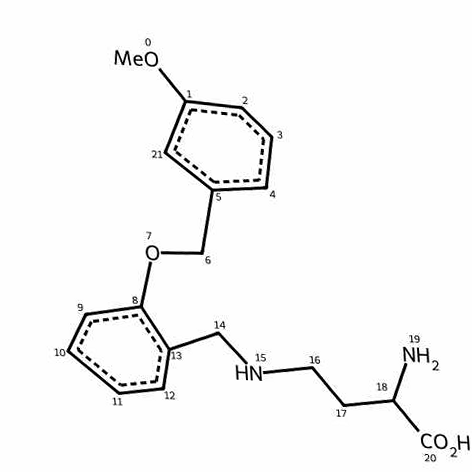 COc1cccc(COc2ccccc2CNCCC(N)C(=O)O)c1